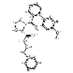 CCOc1ccc(-c2ccccc2C(=O)N2CCS[C@H]2C(=O)NOCc2ccccc2)cc1